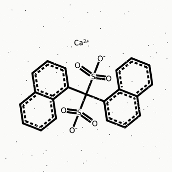 O=S(=O)([O-])C(c1cccc2ccccc12)(c1cccc2ccccc12)S(=O)(=O)[O-].[Ca+2]